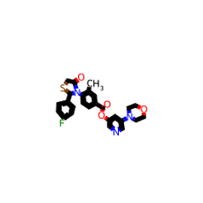 Cc1cc(C(=O)Oc2cncc(N3CCOCC3)c2)ccc1N1C(=O)CSC1c1ccc(F)cc1